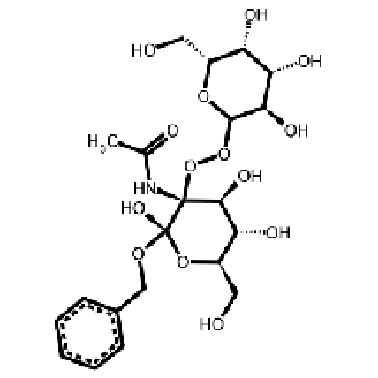 CC(=O)N[C@@]1(OOC2O[C@H](CO)[C@H](O)[C@H](O)[C@H]2O)[C@@H](O)[C@H](O)[C@@H](CO)O[C@]1(O)OCc1ccccc1